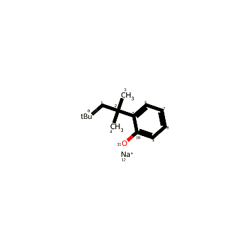 CC(C)(C)CC(C)(C)c1ccccc1[O-].[Na+]